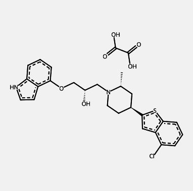 C[C@@H]1C[C@@H](c2cc3c(Cl)cccc3s2)CCN1C[C@H](O)COc1cccc2[nH]ccc12.O=C(O)C(=O)O